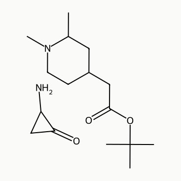 CC1CC(CC(=O)OC(C)(C)C)CCN1C.NC1CC1=O